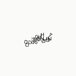 O=C(COc1ccc(Cl)c(Cl)c1)NC12CCC(NC(=O)c3cc(C4CC4)no3)(CC1)CC2O